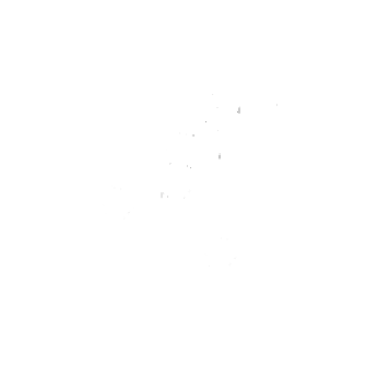 CC(C)C(NC(=O)C(Cc1ccccc1)NC(=O)COc1ccc(Cl)c(Cl)c1)C(=O)C(F)(F)C(=O)NCC(F)(F)F